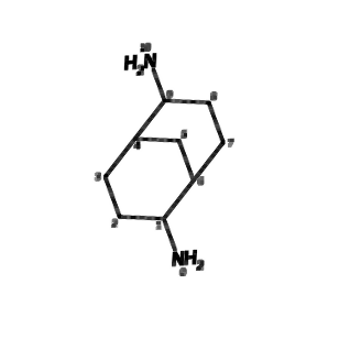 NC1CCC2CC1CCC2N